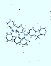 CC1(C)C2=CCCC=C2C2CC=C(N(c3ccc4c5ccccc5n(C5=CC=CCC5)c4c3)c3cccc4ccccc34)C=C21